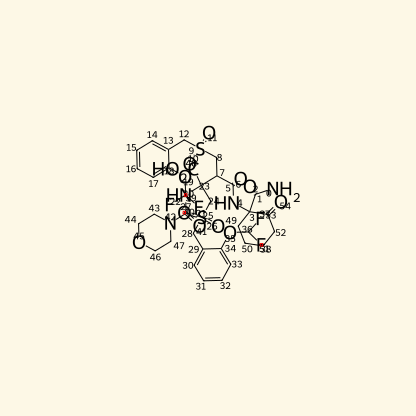 NC(=O)C1(NC(=O)C(CS(=O)(=O)Cc2ccccc2OC(F)F)C(CS(=O)(=O)Cc2ccccc2OC(F)F)(NC(=O)N2CCOCC2)C(=O)O)CCCCC1=O